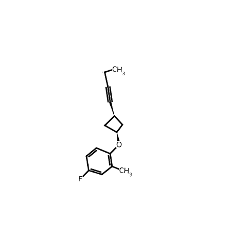 C[CH]C#C[C@H]1C[C@@H](Oc2ccc(F)cc2C)C1